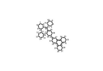 c1ccc(N2c3ccccc3-c3ccccc3-c3cc(-c4ccc5c6ccccc6c6ccccc6c5c4)ccc32)cc1